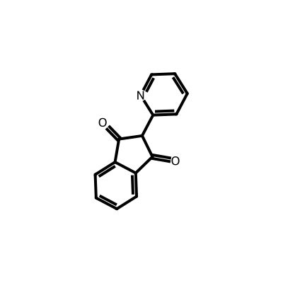 O=C1c2ccccc2C(=O)C1c1ccccn1